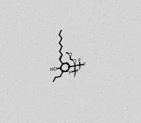 CCCCCC/C=C/c1cc(C(OCOC)(C(F)(F)F)C(F)(F)F)cc(CCC)c1O